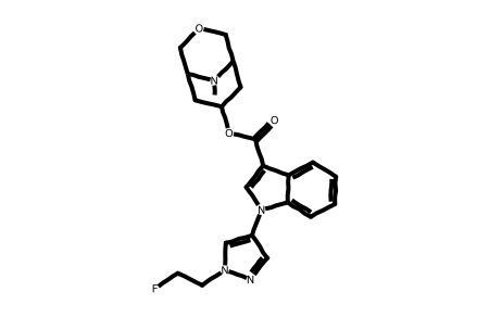 CN1C2COCC1CC(OC(=O)c1cn(-c3cnn(CCF)c3)c3ccccc13)C2